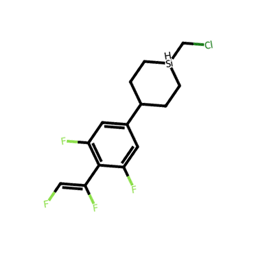 FC=C(F)c1c(F)cc(C2CC[SiH](CCl)CC2)cc1F